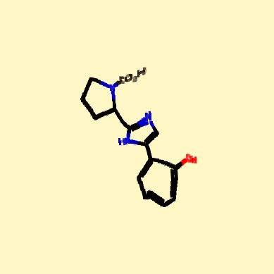 O=C(O)N1CCCC1c1ncc(-c2ccccc2O)[nH]1